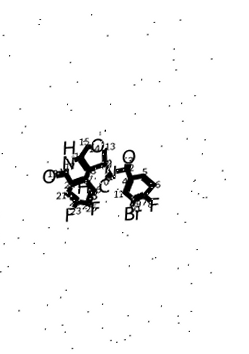 CN(C(=O)c1ccc(F)c(Br)c1)[C@H]1COCc2[nH]c(=O)c3cc(F)c(F)cc3c21